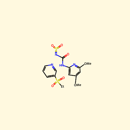 CCS(=O)(=O)c1cccnc1.COc1cc(NC(=O)N=S(=O)=O)nc(OC)c1